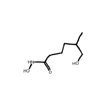 CC(CO)CCCC(=O)NO